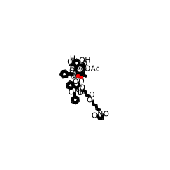 CC(=O)O[C@H]1C(=O)[C@]2(C)C(O)C[C@H]3OC[C@@]3(OC(C)=O)[C@H]2[C@H](OC(=O)c2ccccc2)[C@]2(O)C[C@H](OC(=O)[C@H](OC(=O)CCC(=O)OCCCCCN3C(=O)C=CC3=O)[C@@H](NC(=O)c3ccccc3)c3ccccc3)C(C)=C1C2(C)C